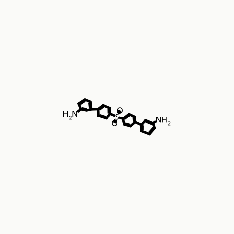 Nc1cccc(-c2ccc(S(=O)(=O)c3ccc(-c4cccc(N)c4)cc3)cc2)c1